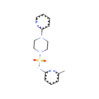 CCc1cccc(NS(=O)(=O)N2CCN(c3ccccn3)CC2)n1